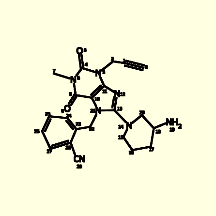 C#CCn1c(=O)n(C)c(=O)c2c1nc(N1CCCC(N)C1)n2Cc1ccccc1C#N